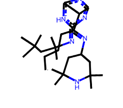 [CH2]CCCC(=NC1CC(C)(C)NC(C)(C)C1)[C]1c2nc1[nH]c(=NC(C)(C)CC(C)(C)C)n2